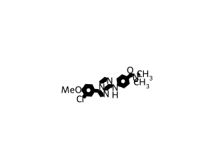 COc1ccc(-c2cnc3c(Nc4ccc(C(=O)N(C)C)cc4)nccn23)cc1Cl